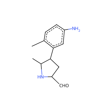 Cc1ccc(N)cc1C1CC(C=O)NC1C